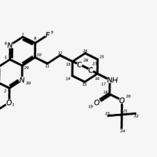 COc1ccc2ncc(F)c(CCC34CCC(NC(=O)OC(C)(C)C)(CC3)CC4)c2n1